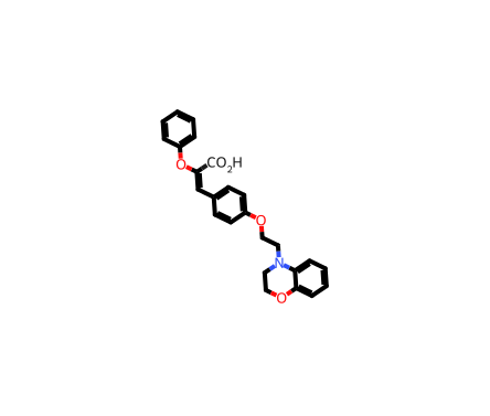 O=C(O)/C(=C\c1ccc(OCCN2CCOc3ccccc32)cc1)Oc1ccccc1